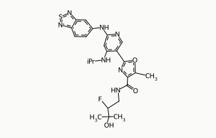 Cc1oc(-c2cnc(Nc3ccc4nsnc4c3)cc2NC(C)C)nc1C(=O)NCC(F)C(C)(C)O